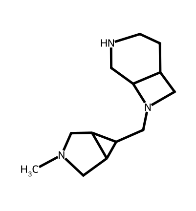 CN1CC2C(C1)C2CN1CC2CCNCC21